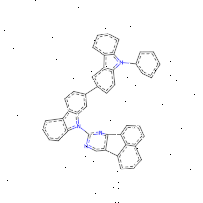 c1ccc(-n2c3ccccc3c3cc(-c4ccc5c6ccccc6n(-c6ncc7c(n6)-c6cccc8cccc-7c68)c5c4)ccc32)cc1